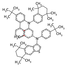 Cc1cc(N(c2ccc3c(c2)C(C)(C)CCC3(C)C)c2ccc(C(C)(C)C)cc2-c2ccccc2)cc(N(c2ccc(C(C)(C)C)cc2)c2csc3cc4c(cc23)C(C)(C)CCC4(C)C)c1